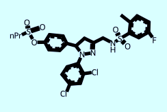 CCCS(=O)(=O)Oc1ccc(C2CC(CNS(=O)(=O)c3cc(F)ccc3C)=NN2c2ccc(Cl)cc2Cl)cc1